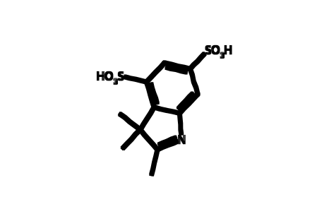 CC1=Nc2cc(S(=O)(=O)O)cc(S(=O)(=O)O)c2C1(C)C